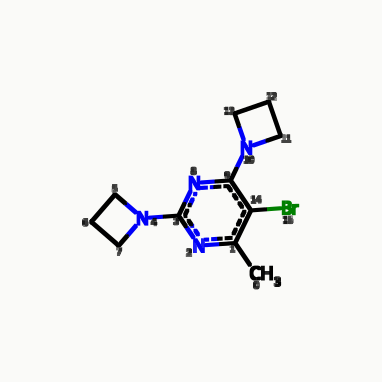 Cc1nc(N2CCC2)nc(N2CCC2)c1Br